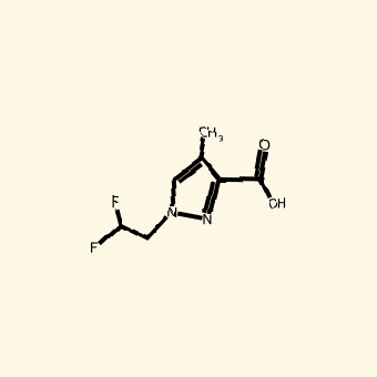 Cc1cn(CC(F)F)nc1C(=O)O